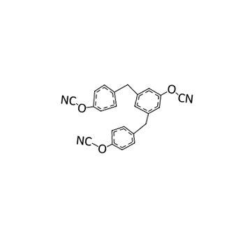 N#COc1ccc(Cc2cc(Cc3ccc(OC#N)cc3)cc(OC#N)c2)cc1